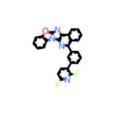 Fc1ccc(-c2cccc(-c3nc4c(nc5oc6ccccc6n54)c4ccccc34)c2)c(F)n1